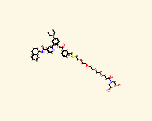 CCN(CC)c1ccc(NC(=O)c2cccc(CSCCOCCOCCOCCOCCC(=O)N(CCO)CCO)c2)c(-c2cc(C(=O)NC3CCCc4ccccc43)ccn2)c1